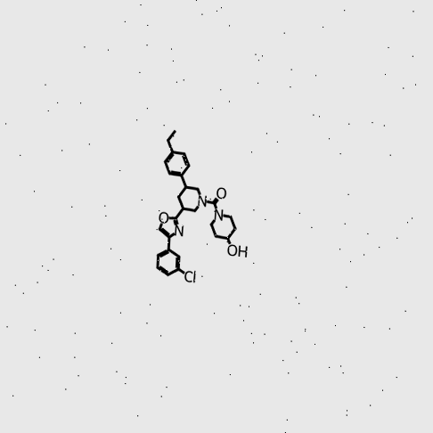 CCc1ccc(C2CC(c3nc(-c4cccc(Cl)c4)co3)CN(C(=O)N3CCC(O)CC3)C2)cc1